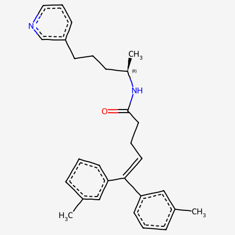 Cc1cccc(C(=CCCC(=O)N[C@H](C)CCCc2cccnc2)c2cccc(C)c2)c1